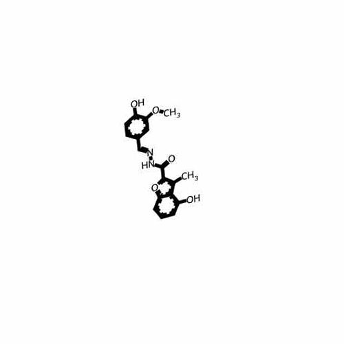 COc1cc(/C=N/NC(=O)c2oc3cccc(O)c3c2C)ccc1O